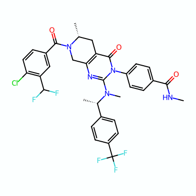 CNC(=O)c1ccc(-n2c(N(C)[C@@H](C)c3ccc(C(F)(F)F)cc3)nc3c(c2=O)C[C@@H](C)N(C(=O)c2ccc(Cl)c(C(F)F)c2)C3)cc1